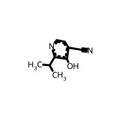 CC(C)c1nccc(C#N)c1O